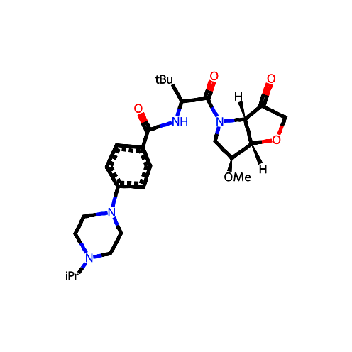 CO[C@H]1CN(C(=O)C(NC(=O)c2ccc(N3CCN(C(C)C)CC3)cc2)C(C)(C)C)[C@@H]2C(=O)CO[C@H]12